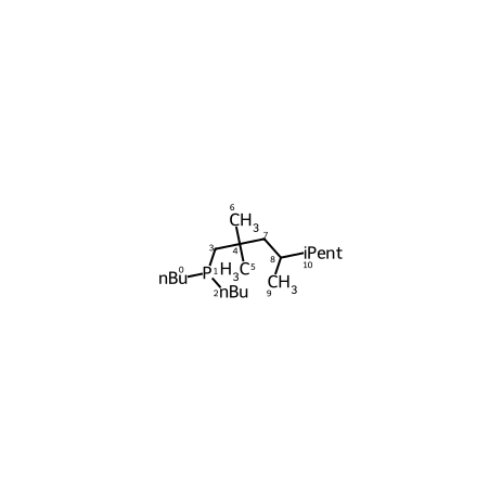 CCCCP(CCCC)CC(C)(C)CC(C)C(C)CCC